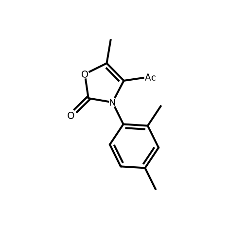 CC(=O)c1c(C)oc(=O)n1-c1ccc(C)cc1C